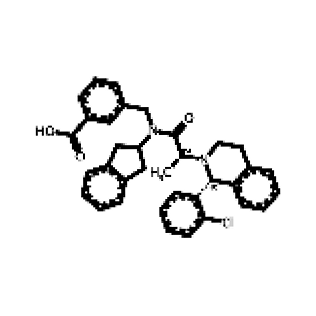 C[C@@H](C(=O)N(Cc1cccc(C(=O)O)c1)C1Cc2ccccc2C1)N1CCc2ccccc2[C@@H]1c1ccccc1Cl